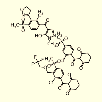 CS(=O)(=O)c1ccc(C(=O)C2C(=O)CCCC2=O)c(Cl)c1.CS(=O)(=O)c1ccc(C(=O)C2C(=O)CCCC2=O)c(Cl)c1COCC(F)(F)F.Cc1c(C(=O)c2cnn(C)c2O)ccc(S(C)(=O)=O)c1C1=NOCC1